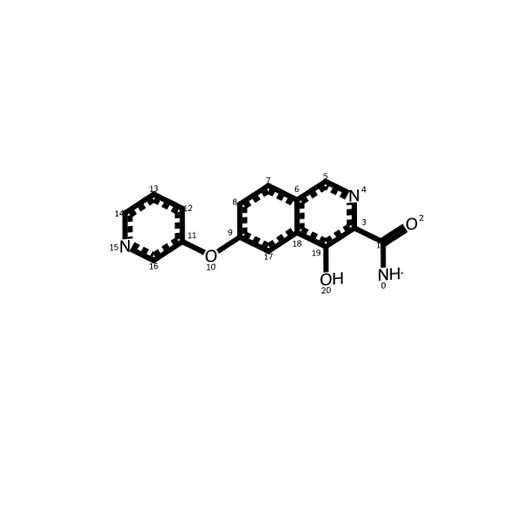 [NH]C(=O)c1ncc2ccc(Oc3cccnc3)cc2c1O